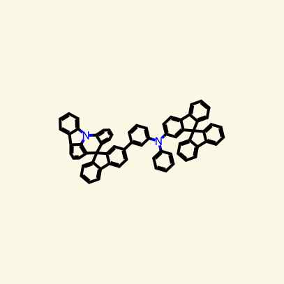 c1ccc(N(c2cccc(-c3ccc4c(c3)C3(c5ccccc5-4)c4ccccc4-n4c5ccccc5c5cccc3c54)c2)c2ccc3c(c2)C2(c4ccccc4-c4ccccc42)c2ccccc2-3)cc1